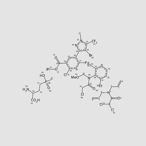 C=CCN(CC=C)C(=O)C(Cl)Cl.CC(C)OC(=O)c1cc(-c2nn(C)c(C(F)(F)F)c2Br)c(F)cc1Cl.CCc1cccc(CC)c1N(COC)C(=O)CCl.CP(=O)(O)CCC(N)C(=O)O